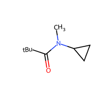 CN(C(=O)C(C)(C)C)C1CC1